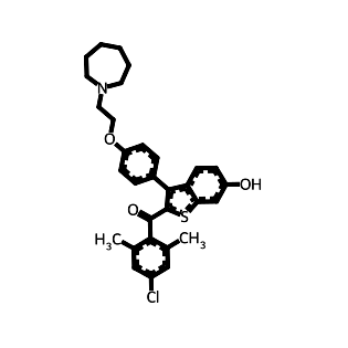 Cc1cc(Cl)cc(C)c1C(=O)c1sc2cc(O)ccc2c1-c1ccc(OCCN2CCCCCC2)cc1